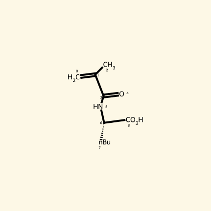 C=C(C)C(=O)N[C@@H](CCCC)C(=O)O